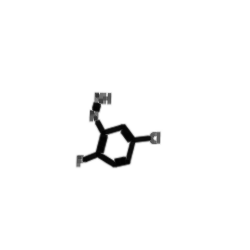 N=Nc1cc(Cl)ccc1F